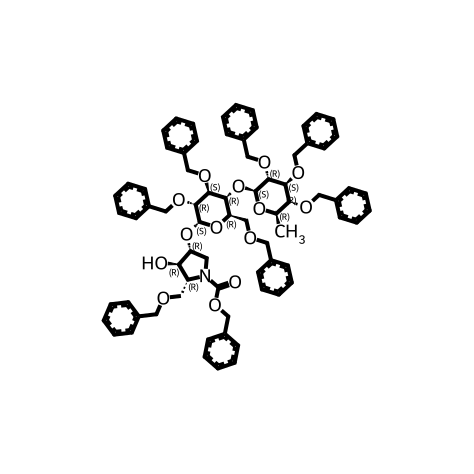 C[C@H]1O[C@@H](O[C@H]2[C@H](OCc3ccccc3)[C@@H](OCc3ccccc3)[C@@H](O[C@@H]3CN(C(=O)OCc4ccccc4)[C@H](COCc4ccccc4)[C@H]3O)O[C@@H]2COCc2ccccc2)[C@H](OCc2ccccc2)[C@@H](OCc2ccccc2)[C@@H]1OCc1ccccc1